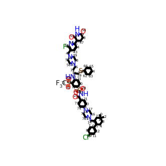 CC1(C)CCC(c2ccc(Cl)cc2)=C(CN2CCN(c3ccc(C(=O)NS(=O)(=O)c4ccc(N[C@H](CCN5CCN(Cc6ccc(C7CCC(=O)NC7=O)nc6F)CC5)CSc5ccccc5)c(S(=O)(=O)C(F)(F)F)c4)cc3)CC2)C1